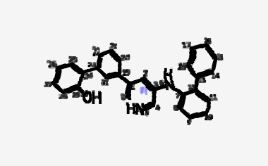 C=C(/C=C(\C=N)Nc1ccccc1-c1ccccc1)c1cccc(-c2ccccc2O)c1